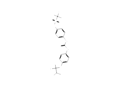 O=C(Nc1ccc(OS(=O)(=O)C(F)(F)F)cc1)Nc1ccc(SC(F)(F)C(F)F)cc1